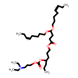 [CH2]CCC(CCCOC(=O)CCC(OCCCC/C=C\CC)OCCCC/C=C\CC)OC(=O)OCCCN(CC)CC